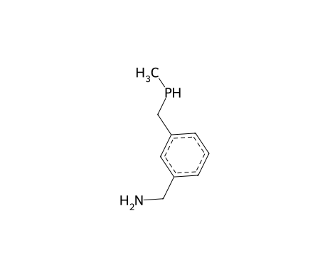 CPCc1cccc(CN)c1